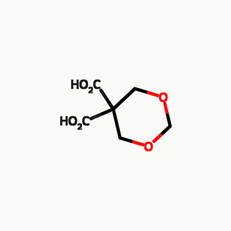 O=C(O)C1(C(=O)O)COCOC1